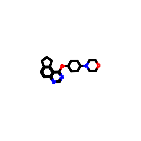 c1nc(OC2CCC(N3CCOCC3)CC2)c2c3c(ccc2n1)CCC3